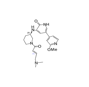 COc1cc(-c2c[nH]c(=O)c(N[C@@H]3CCCN(C(=O)/C=C/CN(C)C)C3)c2)ccn1